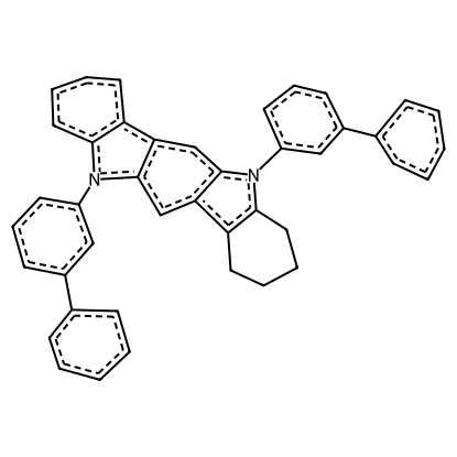 c1ccc(-c2cccc(-n3c4c(c5cc6c(cc53)c3ccccc3n6-c3cccc(-c5ccccc5)c3)CCCC4)c2)cc1